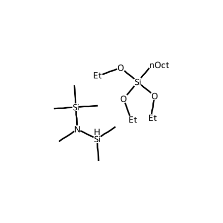 CCCCCCCC[Si](OCC)(OCC)OCC.CN([SiH](C)C)[Si](C)(C)C